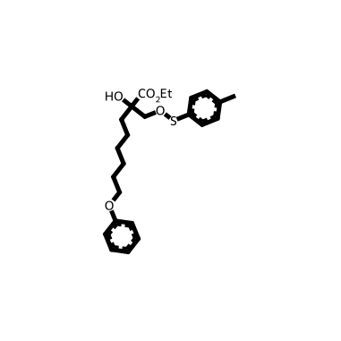 CCOC(=O)C(O)(CCCCCCOc1ccccc1)COSc1ccc(C)cc1